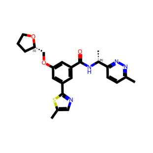 Cc1ccc([C@@H](C)NC(=O)c2cc(OC[C@@H]3CCCO3)cc(-c3ncc(C)s3)c2)nn1